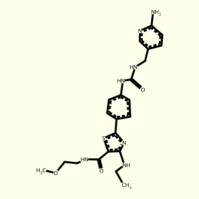 CCNc1nc(-c2ccc(NC(=O)NCc3ccc(N)nc3)cc2)sc1C(=O)NCCOC